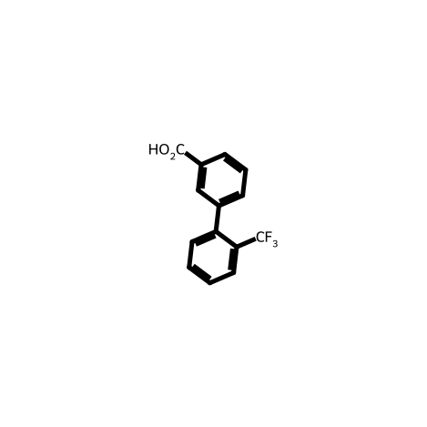 O=C(O)c1cccc(-c2ccccc2C(F)(F)F)c1